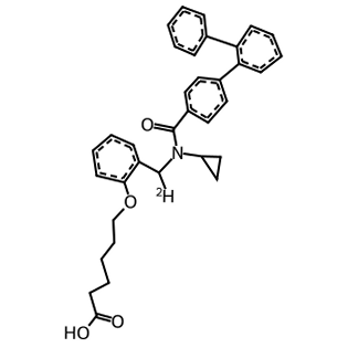 [2H]C(c1ccccc1OCCCCCC(=O)O)N(C(=O)c1ccc(-c2ccccc2-c2ccccc2)cc1)C1CC1